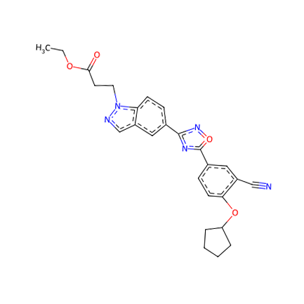 CCOC(=O)CCn1ncc2cc(-c3noc(-c4ccc(OC5CCCC5)c(C#N)c4)n3)ccc21